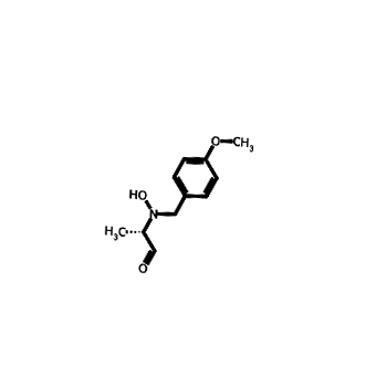 COc1ccc(CN(O)[C@@H](C)C=O)cc1